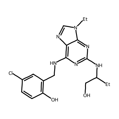 CCC(CO)Nc1nc(NCc2cc(Cl)ccc2O)c2ncn(CC)c2n1